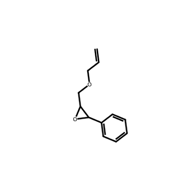 C=CCOCC1OC1c1ccccc1